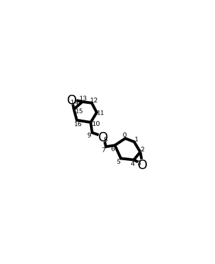 C1CC2OC2CC1COCC1CCC2OC2C1